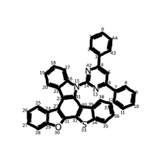 c1ccc(-c2cc(-c3ccccc3)nc(-n3c4ccccc4c4c5c6ccccc6oc5c5sc6ccccc6c5c43)n2)cc1